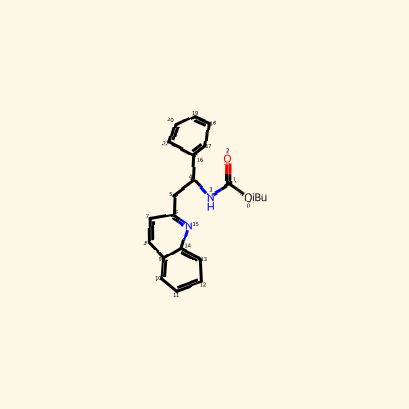 CC(C)COC(=O)NC(Cc1ccc2ccccc2n1)c1ccccc1